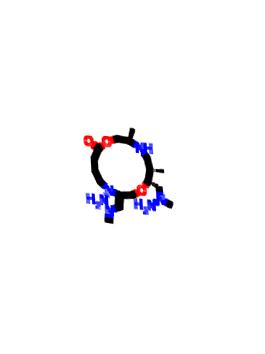 C=N/C=C1/CO[C@@H](CN(C)N)[C@@H](C)CN[C@H](C)COC(=O)CCCN1N